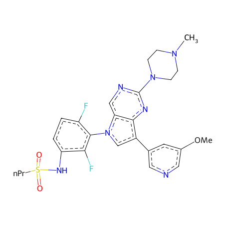 CCCS(=O)(=O)Nc1ccc(F)c(-n2cc(-c3cncc(OC)c3)c3nc(N4CCN(C)CC4)ncc32)c1F